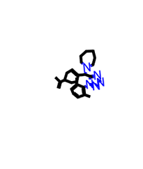 C=C(C)C1CC=C(C(c2nnnn2-c2c(C)cccc2C)N2CCCCCC2)CC1